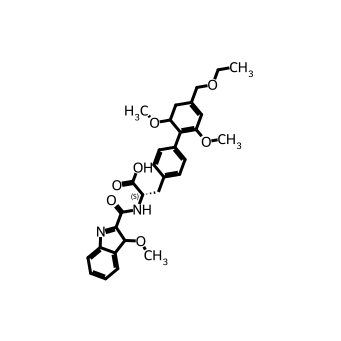 CCOCC1=CC(OC)=C(c2ccc(C[C@H](NC(=O)C3=Nc4ccccc4C3OC)C(=O)O)cc2)C(OC)C1